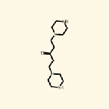 O=C(CCN1CCNCC1)CCN1CCNCC1